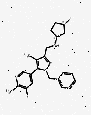 Cc1ncc(-c2c(C)c(CN[C@H]3CC[C@@H](F)C3)nn2Cc2ccccc2)cc1F